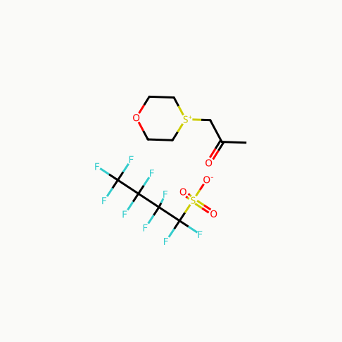 CC(=O)C[S+]1CCOCC1.O=S(=O)([O-])C(F)(F)C(F)(F)C(F)(F)C(F)(F)F